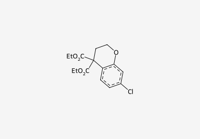 CCOC(=O)C1(C(=O)OCC)CCOc2cc(Cl)ccc21